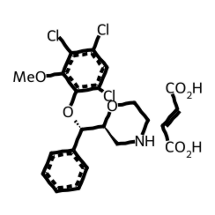 COc1c(Cl)c(Cl)cc(Cl)c1O[C@@H](c1ccccc1)[C@@H]1CNCCO1.O=C(O)C=CC(=O)O